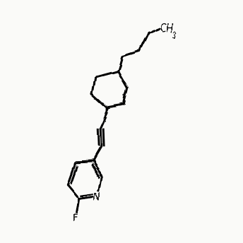 CCCCC1CCC(C#Cc2ccc(F)nc2)CC1